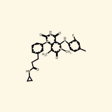 Cc1c(=O)n(C)c(Nc2ccc(I)cc2F)c2c(=O)[nH]c(=O)n(-c3cccc(CCC(=O)NC4CC4)c3)c12